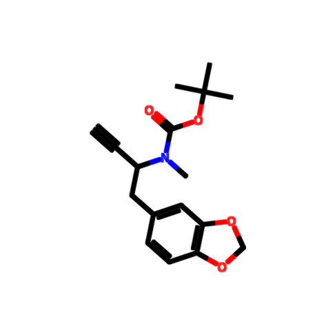 C#CC(Cc1ccc2c(c1)OCO2)N(C)C(=O)OC(C)(C)C